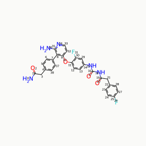 NC(=O)Cc1ccc(-c2c(Oc3ccc(NC(=O)NC(=O)Cc4ccc(F)cc4)cc3F)ccnc2N)cc1